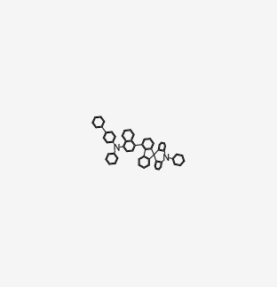 c1ccc(-c2ccc(N(c3ccccc3)c3ccc(-c4cccc5c4-c4ccccc4C54c5ccccc5N(c5ccccc5)c5ccccc54)c4ccccc34)cc2)cc1